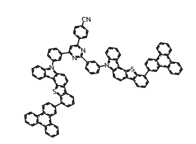 N#Cc1ccc(-c2cc(-c3cccc(-n4c5ccccc5c5c6sc7c(-c8ccc9c%10ccccc%10c%10ccccc%10c9c8)cccc7c6ccc54)c3)nc(-c3cccc(-n4c5ccccc5c5c6sc7c(-c8ccc9c%10ccccc%10c%10ccccc%10c9c8)cccc7c6ccc54)c3)n2)cc1